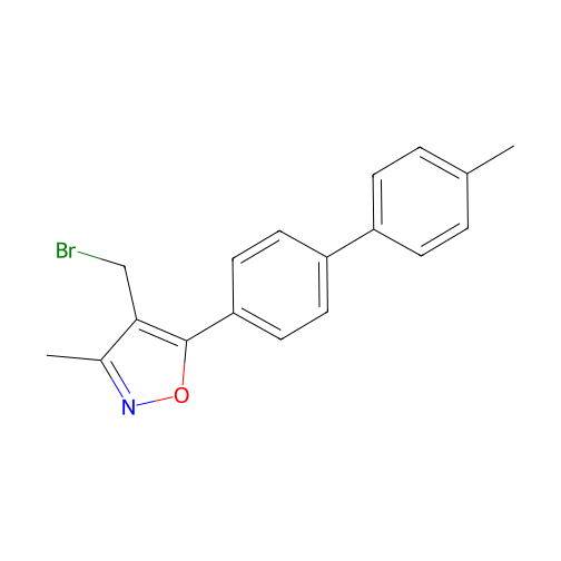 Cc1ccc(-c2ccc(-c3onc(C)c3CBr)cc2)cc1